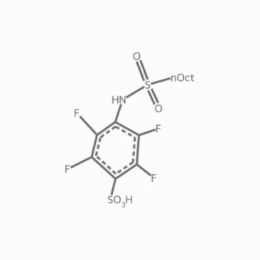 CCCCCCCCS(=O)(=O)Nc1c(F)c(F)c(S(=O)(=O)O)c(F)c1F